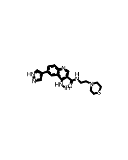 CC(C)Nc1c(C(=O)NCCN2CCSCC2)cnc2ccc(-c3cn[nH]c3)cc12